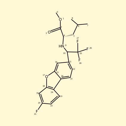 COC(=O)[C@H](CC(C)C)NC(c1ccc2c(c1)oc1cc(F)ccc12)C(F)(F)F